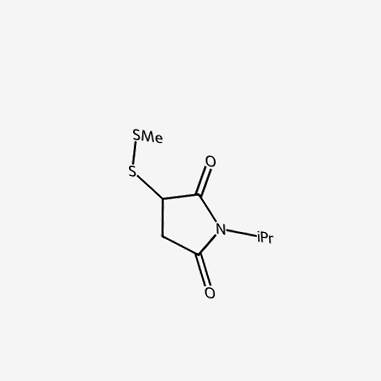 CSSC1CC(=O)N(C(C)C)C1=O